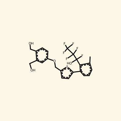 Cc1cccc(-c2ccc(COc3ccc(CO)c(CO)c3)s2)c1C(O)(F)C(F)(F)C(F)(F)F